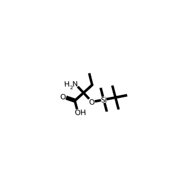 CCC(N)(O[Si](C)(C)C(C)(C)C)C(=O)O